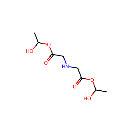 CC(O)OC(=O)CNCC(=O)OC(C)O